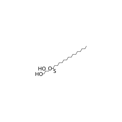 CCCCCCCCCCCCCCCC(=S)OCC(O)CO